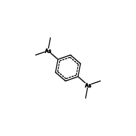 C[As](C)c1ccc([As](C)C)cc1